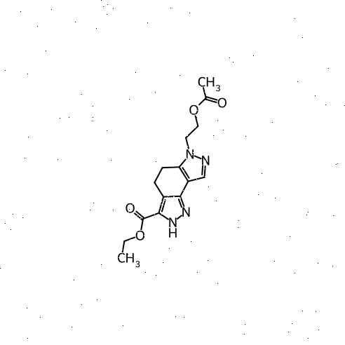 CCOC(=O)c1[nH]nc2c1CCc1c-2cnn1CCOC(C)=O